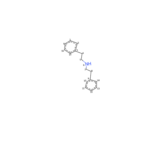 c1ccc(CCNCCc2ccccc2)cc1